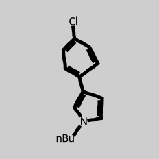 CCCCn1ccc(-c2ccc(Cl)cc2)c1